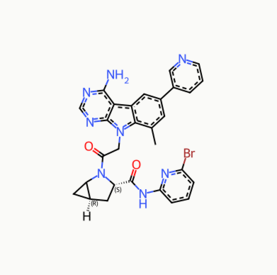 Cc1cc(-c2cccnc2)cc2c3c(N)ncnc3n(CC(=O)N3C4C[C@@H]4C[C@H]3C(=O)Nc3cccc(Br)n3)c12